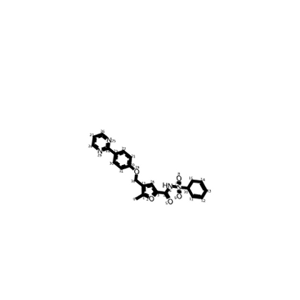 Cc1oc(C(=O)NS(=O)(=O)C2C=CC=CC2)cc1COc1ccc(-c2ncccn2)cc1